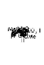 COc1cc(Cl)c(-n2c(=O)[nH]c3c(OC)nc(N(CC(=O)O)C(=O)OC(C)(C)C)nc32)cc1OCc1c(OC)ccc(F)c1F